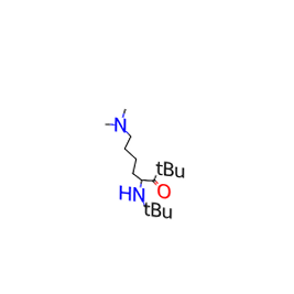 CN(C)CCCCC(NC(C)(C)C)C(=O)C(C)(C)C